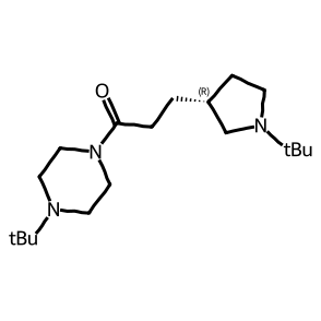 CC(C)(C)N1CCN(C(=O)CC[C@@H]2CCN(C(C)(C)C)C2)CC1